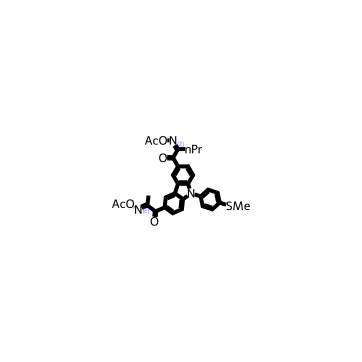 CCC/C(=N/OC(C)=O)C(=O)c1ccc2c(c1)c1cc(C(=O)/C(C)=N/OC(C)=O)ccc1n2-c1ccc(SC)cc1